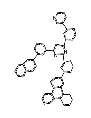 C1=Cc2c(c3cc(C4=CCCC(c5nc(-c6cccc(-c7cccnc7)c6)cc(-c6cccc(-c7ccc8ccccc8c7)c6)n5)=C4)ccc3c3ccccc23)CC1